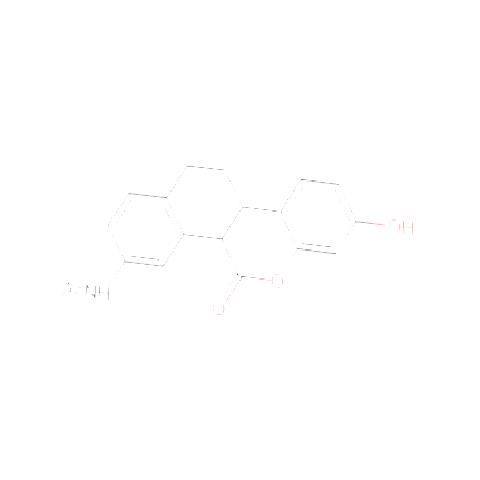 CC(=O)Nc1ccc2c(c1)-c1c(c3ccc(O)cc3oc1=O)CC2